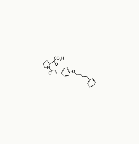 O=C(O)C(=O)[C@@H]1CCCN1C(=O)/C=C/c1ccc(OCCCCc2ccccc2)cc1